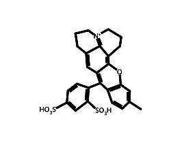 Cc1ccc2c(c1)Oc1c3c4c(cc1=C2c1ccc(S(=O)(=O)O)cc1S(=O)(=O)O)CCC[N+]=4CCC3